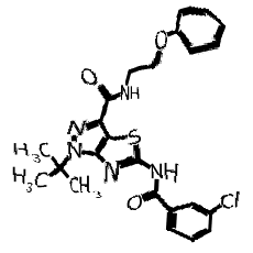 CC(C)(C)n1nc(C(=O)NCCOc2ccccc2)c2sc(NC(=O)c3cccc(Cl)c3)nc21